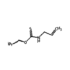 C=CCNC(=S)OCC(C)C